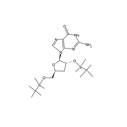 CC(C)(C)[Si](C)(C)OC[C@@H]1C[C@@H](O[Si](C)(C)C(C)(C)C)[C@H](n2cnc3c(=O)[nH]c(N)nc32)O1